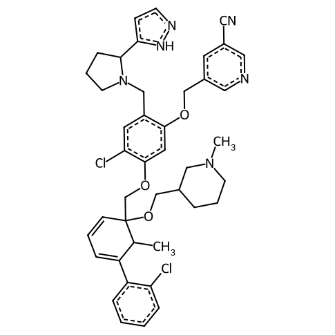 CC1C(c2ccccc2Cl)=CC=CC1(COc1cc(OCc2cncc(C#N)c2)c(CN2CCCC2c2ccn[nH]2)cc1Cl)OCC1CCCN(C)C1